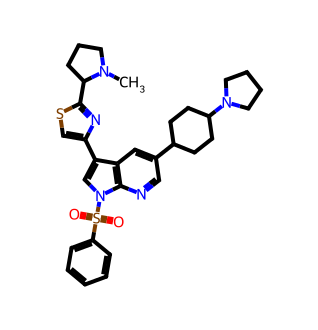 CN1CCCC1c1nc(-c2cn(S(=O)(=O)c3ccccc3)c3ncc(C4CCC(N5CCCC5)CC4)cc23)cs1